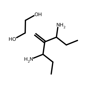 C=C(C(N)CC)C(N)CC.OCCO